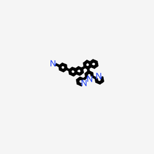 N#Cc1ccc(-c2ccc3ccc(-c4ccc5ccccc5c4-c4cc(-c5ccccn5)nc(-c5ccccn5)c4)cc3c2)cc1